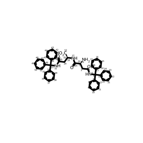 N[C@@H](CC(=O)NC(c1ccccc1)(c1ccccc1)c1ccccc1)C(=O)N[C@@H](CC(=O)NC(c1ccccc1)(c1ccccc1)c1ccccc1)C(=O)O